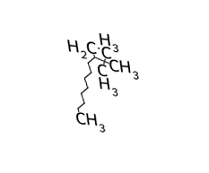 [CH2]C(CCCCCCCC)C(C)(C)C